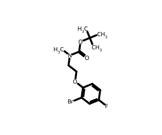 CN(CCOc1ccc(F)cc1Br)C(=O)OC(C)(C)C